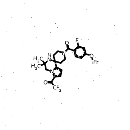 CC(C)Oc1ccc(C(=O)N2CCC3(CC2)NC(C)(C)Cn2c(C(=O)C(F)(F)F)ccc23)c(F)c1